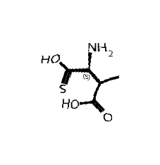 CC(C(=O)O)[C@H](N)C(O)=S